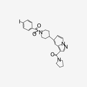 O=C(c1cnn2ccc(C3CCN(S(=O)(=O)c4ccc(I)cc4)CC3)cc12)N1CCCC1